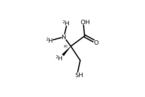 [2H]N([2H])[C@@]([2H])(CS)C(=O)O